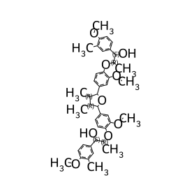 COc1ccc([C@H](O)[C@@H](C)Oc2ccc(C3OC(c4ccc(O[C@H](C)[C@@H](O)c5ccc(OC)c(C)c5)c(OC)c4)[C@H](C)[C@H]3C)cc2OC)cc1C